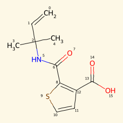 C=CC(C)(C)NC(=O)c1sccc1C(=O)O